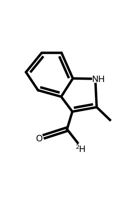 [2H]C(=O)c1c(C)[nH]c2ccccc12